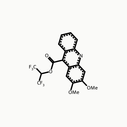 COc1cc2nc3ccccc3c(C(=O)OC(C(F)(F)F)C(F)(F)F)c2cc1OC